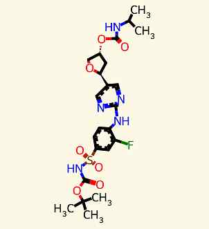 CC(C)NC(=O)O[C@H]1CO[C@H](c2cnc(Nc3ccc(S(=O)(=O)NC(=O)OC(C)(C)C)cc3F)nc2)C1